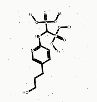 CCOP(=O)(OCC)C(Nc1ccc(CCCO)cn1)P(=O)(OCC)OCC